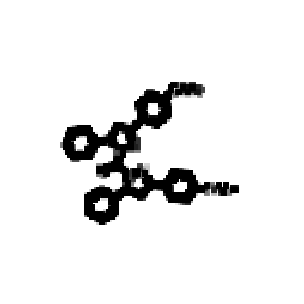 COc1ccc(C2=NN(C(=O)N3N=C(c4ccc(OC)cc4)CC3c3ccccc3)C(c3ccccc3)C2)cc1